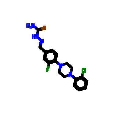 NC(=S)NN=Cc1ccc(N2CCN(c3ccccc3Cl)CC2)c(F)c1